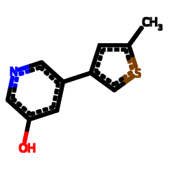 Cc1cc(-c2cncc(O)c2)cs1